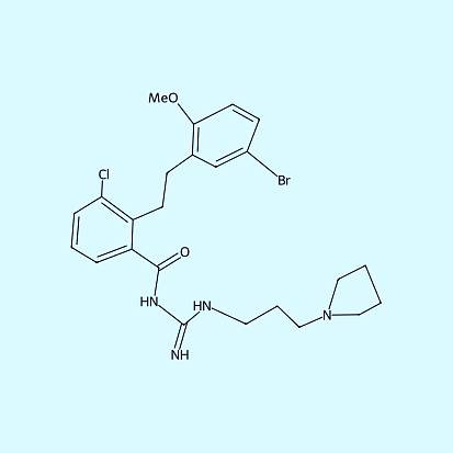 COc1ccc(Br)cc1CCc1c(Cl)cccc1C(=O)NC(=N)NCCCN1CCCC1